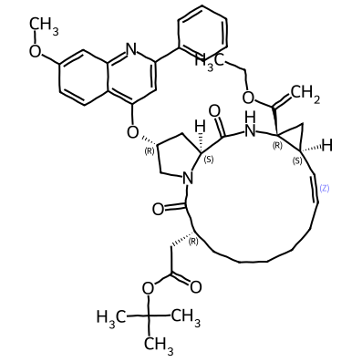 C=C(OCC)[C@@]12C[C@H]1/C=C\CCCCC[C@H](CC(=O)OC(C)(C)C)C(=O)N1C[C@H](Oc3cc(-c4ccccc4)nc4cc(OC)ccc34)C[C@H]1C(=O)N2